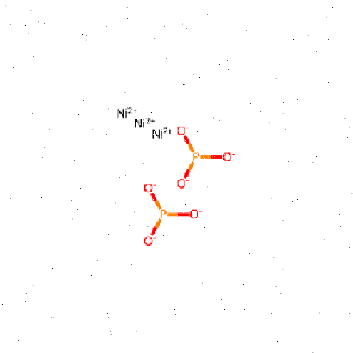 [Ni+2].[Ni+2].[Ni+2].[O-]P([O-])[O-].[O-]P([O-])[O-]